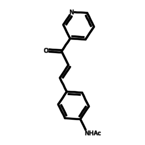 CC(=O)Nc1ccc(C=CC(=O)c2cccnc2)cc1